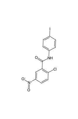 O=C(Nc1ccc(I)cc1)c1cc([N+](=O)[O-])ccc1Cl